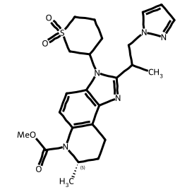 COC(=O)N1c2ccc3c(nc(C(C)Cn4cccn4)n3C3CCCS(=O)(=O)C3)c2CC[C@@H]1C